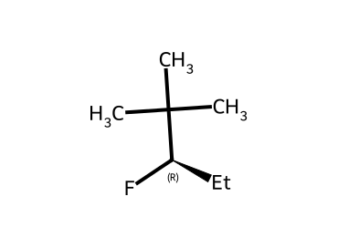 CC[C@@H](F)C(C)(C)C